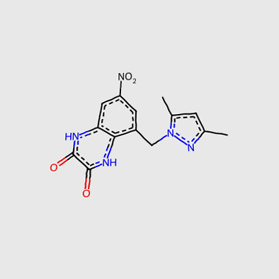 Cc1cc(C)n(Cc2cc([N+](=O)[O-])cc3[nH]c(=O)c(=O)[nH]c23)n1